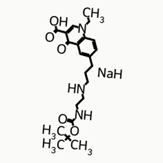 CCn1cc(C(=O)O)c(=O)c2cc(CCCNCCNC(=O)OC(C)(C)C)ccc21.[NaH]